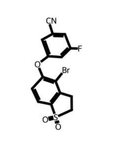 N#Cc1cc(F)cc(Oc2ccc3c(c2Br)CCS3(=O)=O)c1